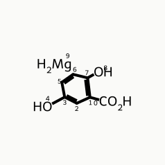 O=C(O)c1cc(O)ccc1O.[MgH2]